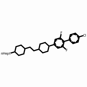 CCCCCCCC1CCC(CCC2CCC(c3cc(F)c(-c4ccc(Cl)cc4)c(F)c3)CC2)CC1